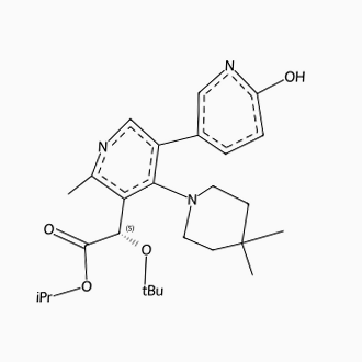 Cc1ncc(-c2ccc(O)nc2)c(N2CCC(C)(C)CC2)c1[C@H](OC(C)(C)C)C(=O)OC(C)C